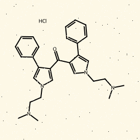 CN(C)CCn1cc(C(=O)c2cn(CCN(C)C)cc2-c2ccccc2)c(-c2ccccc2)c1.Cl